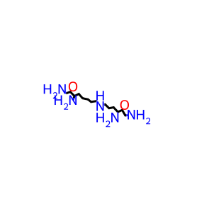 NCC(=O)C(N)CCCCCNCCCC(N)C(=O)CN